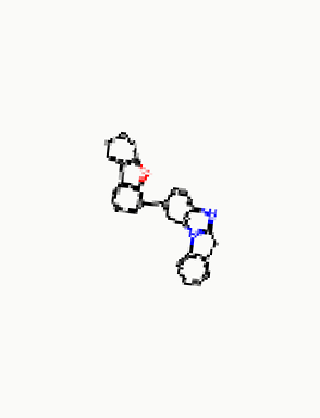 c1ccc2c(c1)Cc1nc3ccc(-c4cccc5c4oc4ccccc45)cc3n1-2